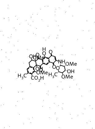 COc1c(C(=O)O)c(C)cc2c1C1(O)C(=O)c3cc4c(c(O)c3C(=O)C1(OC)C(O)C2)C(=O)C=C(N[C@H]1O[C@@H](C)[C@H](OC)[C@@H](O)[C@H]1OC)C4=O